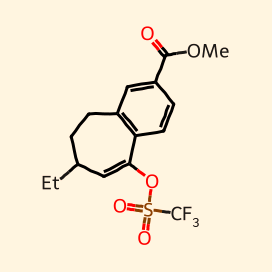 CCC1C=C(OS(=O)(=O)C(F)(F)F)c2ccc(C(=O)OC)cc2CC1